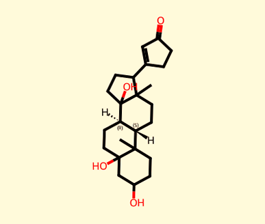 CC12CC[C@H]3[C@@H](CCC4(O)CC(O)CCC34C)C1(O)CCC2C1=CC(=O)CC1